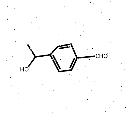 CC(O)c1ccc(C=O)cc1